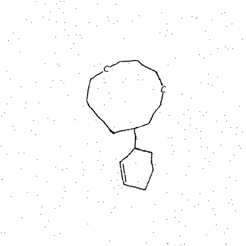 C1=CC(C2CCCCCCCCCCC2)CCC1